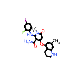 Cc1cc2c(c(Oc3cc(=O)n(C)c(Nc4ccc(I)cc4F)c3C(N)=O)c1)CCCN2